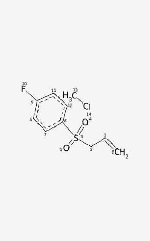 C=CCS(=O)(=O)c1ccc(F)cc1.CCl